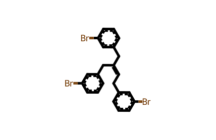 Brc1cccc(CC=C(Cc2cccc(Br)c2)Cc2cccc(Br)c2)c1